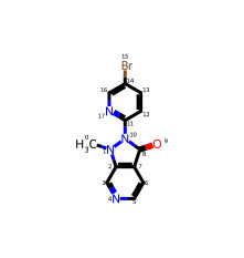 Cn1c2cnccc2c(=O)n1-c1ccc(Br)cn1